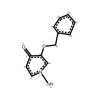 CCCn1ccc(=O)c(OCc2ccccc2)c1